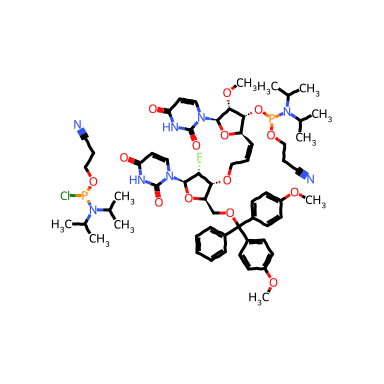 CC(C)N(C(C)C)P(Cl)OCCC#N.COc1ccc(C(OC[C@H]2O[C@@H](n3ccc(=O)[nH]c3=O)[C@H](F)[C@@H]2OC/C=C\[C@H]2O[C@@H](n3ccc(=O)[nH]c3=O)[C@H](OC)[C@@H]2OP(OCCC#N)N(C(C)C)C(C)C)(c2ccccc2)c2ccc(OC)cc2)cc1